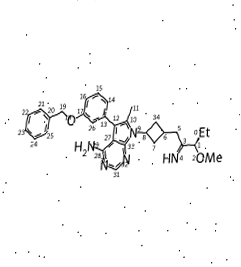 CC[C@@H](OC)C(=N)CC1CC(n2c(C)c(-c3cccc(OCc4ccccc4)c3)c3c(N)ncnc32)C1